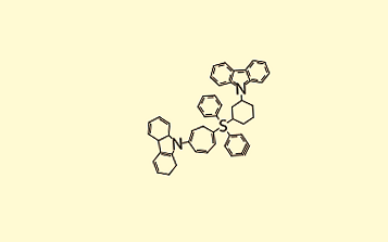 c1ccc(S(C2=CC=CC(N3C4=C(C=CCC4)C4C=CC=CC43)=CC2)(c2ccccc2)C2CCCC(n3c4ccccc4c4ccccc43)C2)cc#1